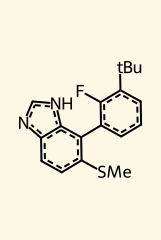 CSc1ccc2nc[nH]c2c1-c1cccc(C(C)(C)C)c1F